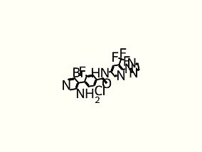 Nc1cncc(Br)c1-c1cc(Cl)c(C(=O)Nc2cnc(-n3nccn3)c(C(F)(F)F)c2)cc1F